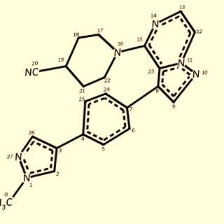 Cn1cc(-c2ccc(-c3cnn4ccnc(N5CCC(C#N)CC5)c34)cc2)cn1